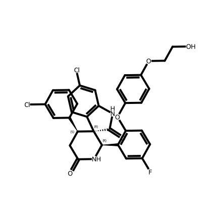 O=C1C[C@@H](C2C=C(Cl)C=CC2)[C@]2(C(=O)Nc3cc(Cl)ccc32)[C@@H](c2cc(F)ccc2Oc2ccc(OCCO)cc2)N1